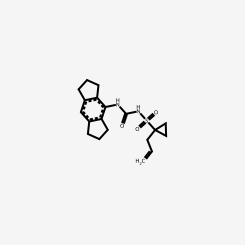 C=CCC1(S(=O)(=O)NC(=O)Nc2c3c(cc4c2CCC4)CCC3)CC1